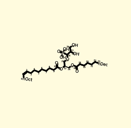 CCCCCCCC/C=C\CCCCCCCC(=O)O[C@H](COC(=O)CCCCCCCCCCCCCCC)COC(C(O)CO)P(=O)(O)O